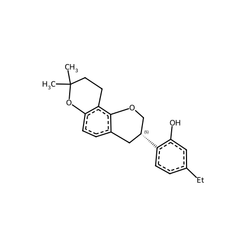 CCc1ccc([C@H]2COc3c(ccc4c3CCC(C)(C)O4)C2)c(O)c1